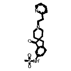 CS(=O)(=O)Nc1ccc2c(c1)C(=O)C1(CCN(CCc3ccccn3)CC1)C2